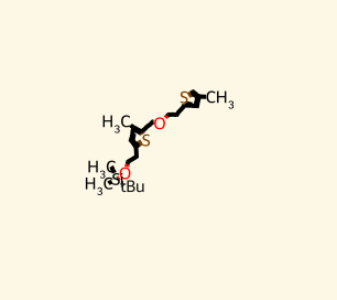 Cc1csc(CCOCc2sc(CCO[Si](C)(C)C(C)(C)C)cc2C)c1